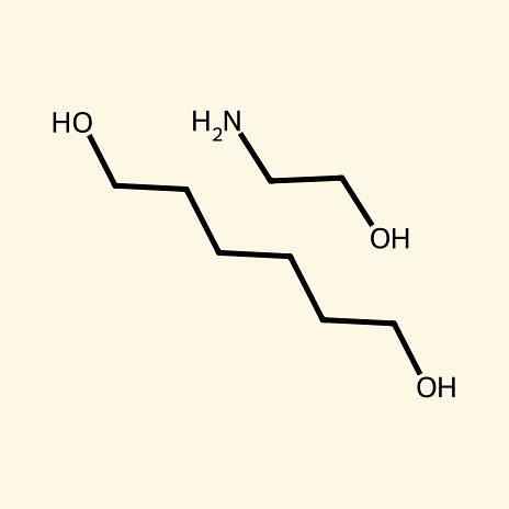 NCCO.OCCCCCCO